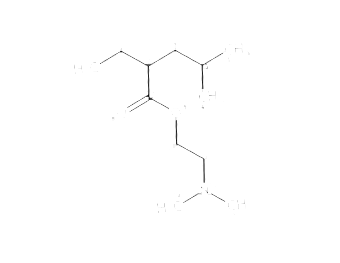 CCC(CC(C)C)C(=O)OCCN(C)C